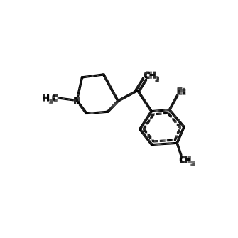 C=C(c1ccc(C)cc1CC)C1CCN(C)CC1